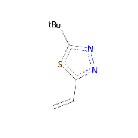 C=Cc1nnc(C(C)(C)C)s1